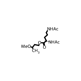 COC(C)CCOC(=O)[C@H](CCCNC(C)=O)NC(C)=O